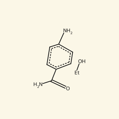 CCO.NC(=O)c1ccc(N)cc1